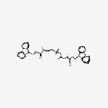 CC(CNC(=O)OCC1c2ccccc2-c2ccccc21)CC(C)(C)CCNC(=O)OCC1c2ccccc2-c2ccccc21